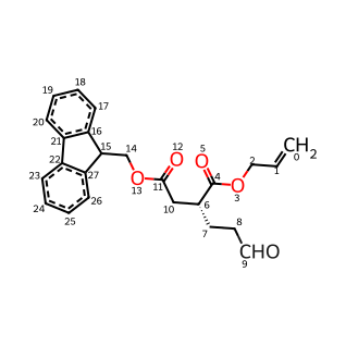 C=CCOC(=O)[C@H](CCC=O)CC(=O)OCC1c2ccccc2-c2ccccc21